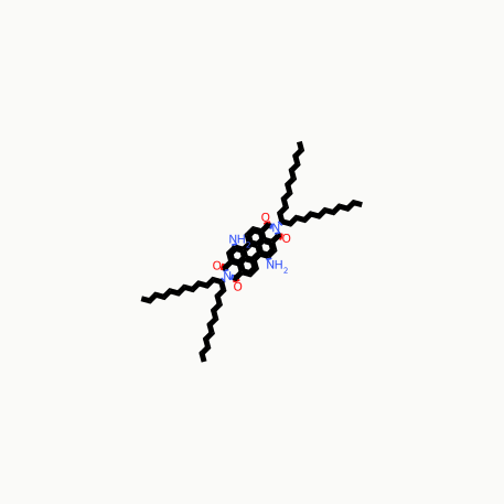 CCCCCCCCCCCC(CCCCCCCCCCC)N1C(=O)c2ccc3c4c(N)cc5c6c(ccc(c7c(N)cc(c2c37)C1=O)c64)C(=O)N(C(CCCCCCCCCCC)CCCCCCCCCCC)C5=O